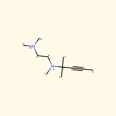 CC#CC(C)(C)N(C)CCN(C)C